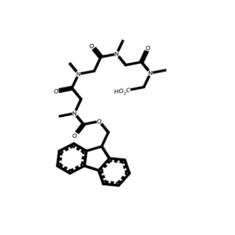 CN(CC(=O)O)C(=O)CN(C)C(=O)CN(C)C(=O)CN(C)C(=O)OCC1c2ccccc2-c2ccccc21